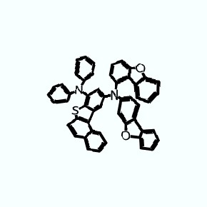 c1ccc(N(c2ccccc2)c2cc(N(c3ccc4c(c3)oc3ccccc34)c3cccc4oc5ccccc5c34)cc3c2sc2ccc4ccccc4c23)cc1